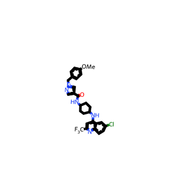 COc1ccc(Cn2cc(C(=O)NC3CCC(Nc4cc(C(F)(F)F)nc5ccc(Cl)cc45)CC3)cn2)cc1